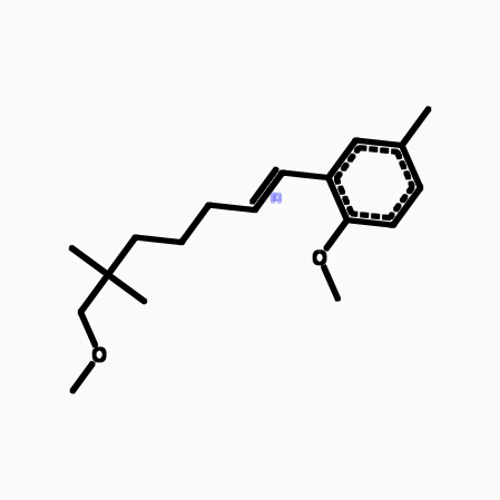 COCC(C)(C)CCC/C=C/c1cc(C)ccc1OC